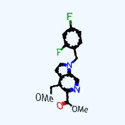 COCc1c(C(=O)OC)ncc2c1ccn2Cc1ccc(F)cc1F